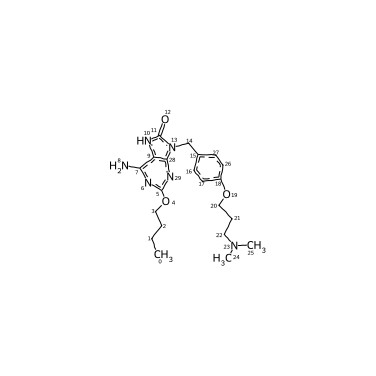 CCCCOc1nc(N)c2[nH]c(=O)n(Cc3ccc(OCCCN(C)C)cc3)c2n1